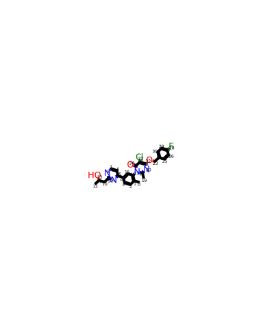 Cc1ccc(-c2ccnc(CC(C)O)n2)cc1-n1c(C)nc(OCc2ccc(F)cc2)c(Cl)c1=O